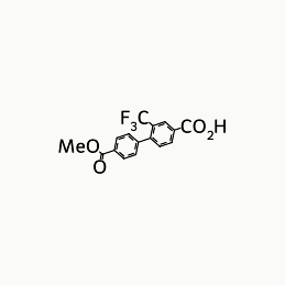 COC(=O)c1ccc(-c2ccc(C(=O)O)cc2C(F)(F)F)cc1